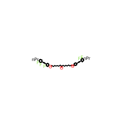 CCCc1ccc(C#Cc2ccc(OCCCCCCCC(=O)CCCCCCCOc3ccc(C#Cc4ccc(CCC)c(F)c4F)c(F)c3)cc2)c(F)c1F